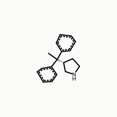 CC(c1ccccc1)(c1ccccc1)[C@@H]1CCNC1